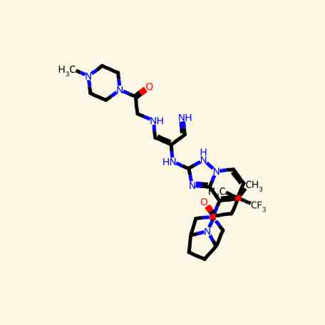 CN1CCN(C(=O)CN/C=C(\C=N)NC2N=C3C(N4CC5CCC(C4)N5C(=O)CC(C)(C)C(F)(F)F)=CC=CN3N2)CC1